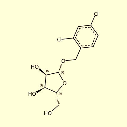 OC[C@H]1O[C@@H](OCc2ccc(Cl)cc2Cl)[C@H](O)[C@@H]1O